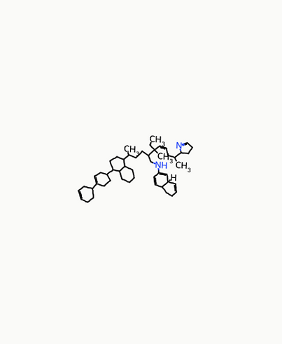 CCC(C)(/C=C\CC(C)C1CCC=N1)C(CCC(C)C1CCC(C2CC=C(C3CC=CCC3)CC2)C2CCCCC12)CNC1=C[C@@H]2C=CCCC2C=C1